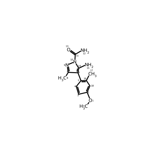 COc1ccc(-c2c(C)nn(C(N)=O)c2N)c(C)c1